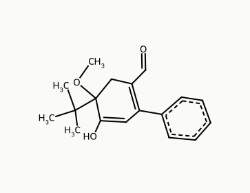 COC1(C(C)(C)C)CC(C=O)=C(c2ccccc2)C=C1O